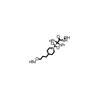 CCCCOCCCC1CCN(S(=O)(=O)C(CCC)(CCC)C(=O)NO)CC1